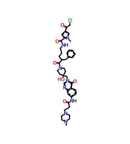 CN1CCN(CCC(=O)Nc2ccc3c(=O)n(CC4(O)CCN(C(=O)C(CCCNC(=O)c5cc(C(=O)CCl)cn5C)Cc5ccccc5)CC4)cnc3c2)CC1